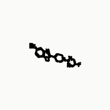 Fc1cnc(N2CCC(c3nc4cc(Br)ccc4o3)CC2)nc1